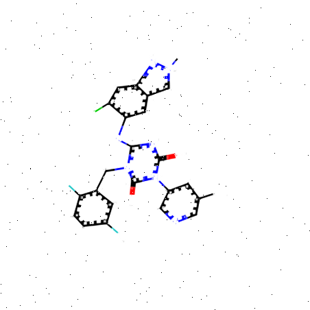 Cc1cncc(-n2c(=O)nc(Nc3cc4cn(C)nc4cc3Cl)n(Cc3cc(F)ccc3F)c2=O)c1